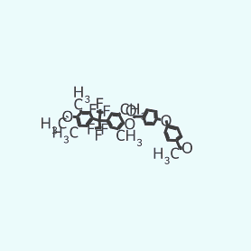 COc1c(C)cc(C(c2cc(C)c(OC(=O)c3ccc(Oc4ccc(C(C)=O)cc4)cc3)c(C)c2)(C(F)(F)F)C(F)(F)F)cc1C